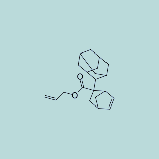 C=CCOC(=O)C1(C2C3CC4CC(C3)CC2C4)CC2C=CC1C2